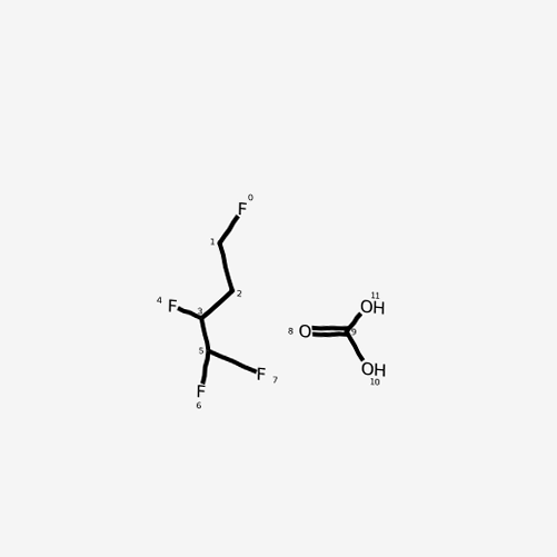 FCCC(F)C(F)F.O=C(O)O